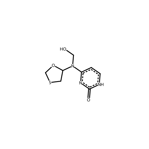 O=c1nc(N(CO)C2CSCO2)cc[nH]1